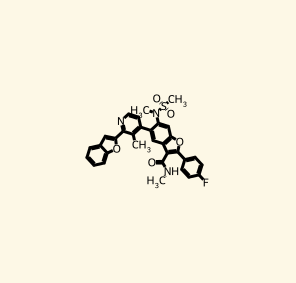 CNC(=O)c1c(-c2ccc(F)cc2)oc2cc(N(C)S(C)(=O)=O)c(-c3ccnc(-c4cc5ccccc5o4)c3C)cc12